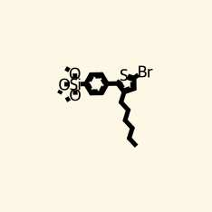 CCCCCCc1cc(Br)sc1-c1ccc([Si](OC)(OC)OC)cc1